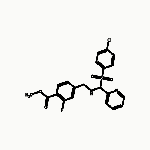 COC(=O)c1ccc(CNC(c2ccccn2)S(=O)(=O)c2ccc(Cl)cc2)cc1F